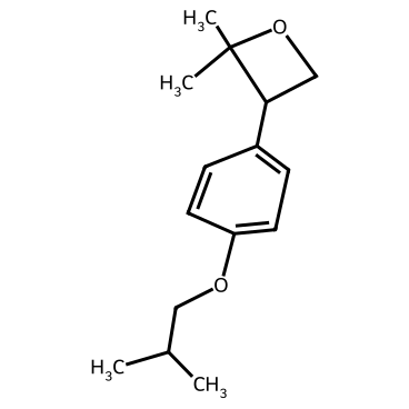 CC(C)COc1ccc(C2COC2(C)C)cc1